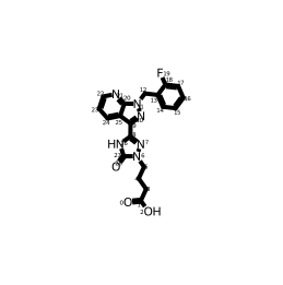 O=C(O)CCCn1nc(-c2nn(Cc3ccccc3F)c3ncccc23)[nH]c1=O